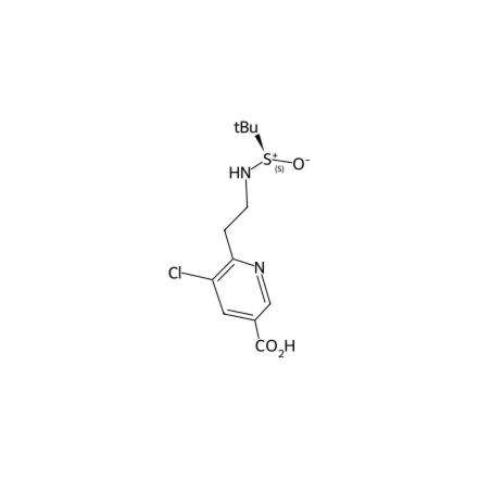 CC(C)(C)[S@@+]([O-])NCCc1ncc(C(=O)O)cc1Cl